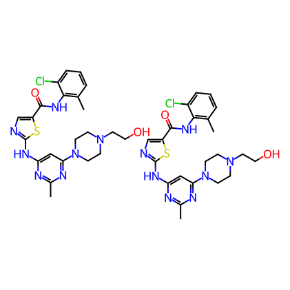 Cc1nc(Nc2ncc(C(=O)Nc3c(C)cccc3Cl)s2)cc(N2CCN(CCO)CC2)n1.Cc1nc(Nc2ncc(C(=O)Nc3c(C)cccc3Cl)s2)cc(N2CCN(CCO)CC2)n1